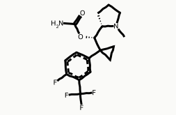 CN1CCC[C@H]1[C@@H](OC(N)=O)C1(c2ccc(F)c(C(F)(F)F)c2)CC1